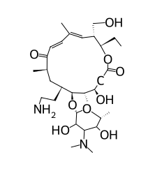 CC[C@H]1OC(=O)C[C@@H](O)[C@H](C)[C@@H](O[C@@H]2O[C@H](C)C(O)C(N(C)C)C2O)[C@@H](CCN)C[C@@H](C)C(=O)/C=C/C(C)=C/[C@@H]1CO